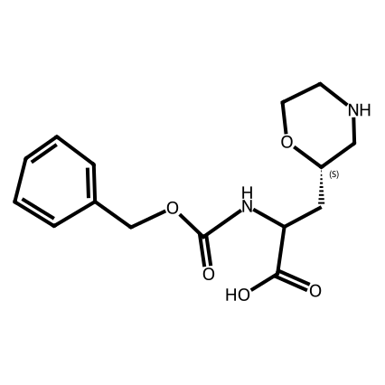 O=C(NC(C[C@H]1CNCCO1)C(=O)O)OCc1ccccc1